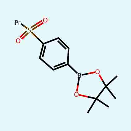 CC(C)S(=O)(=O)c1ccc(B2OC(C)(C)C(C)(C)O2)cc1